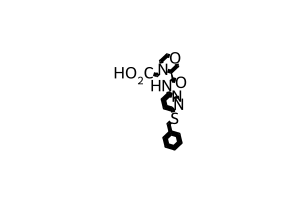 O=C(O)CN1CCOC[C@H]1C(=O)Nc1ccc(SCc2ccccc2)nn1